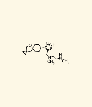 CNCCN(C)Cc1c[nH]nc1[C@H]1CC[C@@]2(CC1)CC1(CC1)CO2